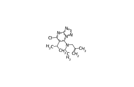 C=C(C)CN(CC)c1c(C(C)C)c(Cl)nc2ncnn12